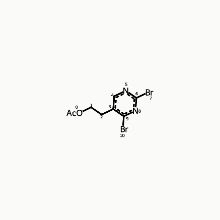 CC(=O)OCCc1cnc(Br)nc1Br